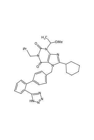 COC(C)n1c(=O)n(CC(C)C)c(=O)c2c1nc(C1CCCCC1)n2Cc1ccc(-c2ccccc2-c2nnn[nH]2)cc1